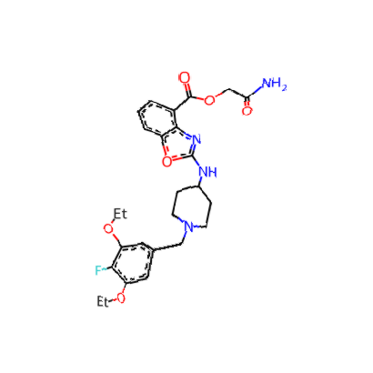 CCOc1cc(CN2CCC(Nc3nc4c(C(=O)OCC(N)=O)cccc4o3)CC2)cc(OCC)c1F